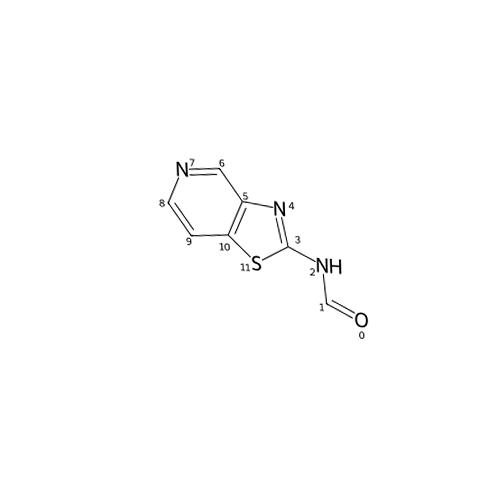 O=CNc1nc2cnccc2s1